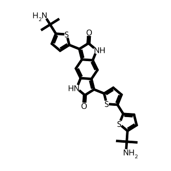 CC(C)(N)c1ccc(C2=c3cc4c(cc3NC2=O)=C(c2ccc(-c3ccc(C(C)(C)N)s3)s2)C(=O)N4)s1